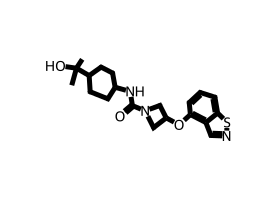 CC(C)(O)C1CCC(NC(=O)N2CC(Oc3cccc4sncc34)C2)CC1